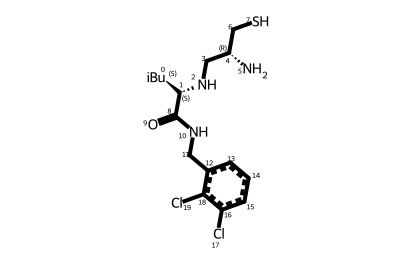 CC[C@H](C)[C@H](NC[C@@H](N)CS)C(=O)NCc1cccc(Cl)c1Cl